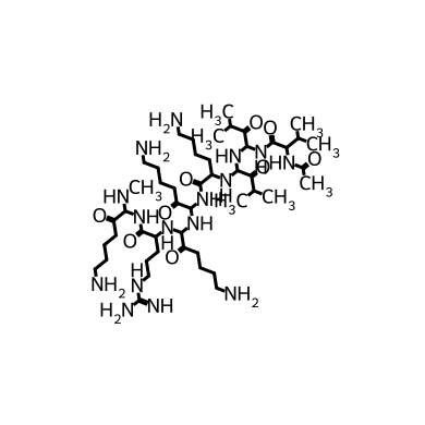 CNC(NC(=O)C(CCCNC(=N)N)NC(NC(NC(=O)C(CCCCN)NC(NC(NC(=O)C(NC(C)=O)C(C)C)C(=O)C(C)C)C(=O)C(C)C)C(=O)CCCCN)C(=O)CCCCN)C(=O)CCCCN